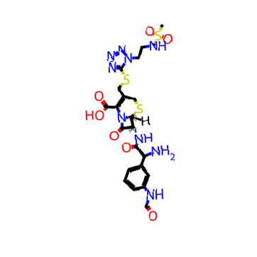 CS(=O)(=O)NCCn1nnnc1SCC1=C(C(=O)O)N2C(=O)[C@@H](NC(=O)C(N)c3cccc(NC=O)c3)[C@H]2SC1